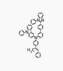 C/C(=C\c1ccccc1)c1ccc(N(c2cccc(-c3ccc(-c4nc5ccccc5n4-c4ccccc4)cc3)c2)c2ccc3c(c2)c2ccccc2n3-c2ccccc2)cc1